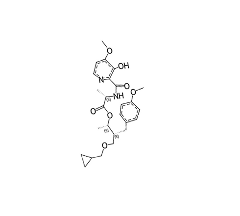 COc1ccc(C[C@H](COCC2CC2)[C@H](C)OC(=O)[C@H](C)NC(=O)c2nccc(OC)c2O)cc1